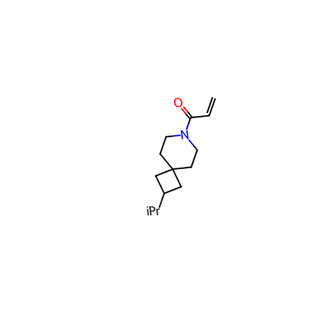 C=CC(=O)N1CCC2(CC1)CC(C(C)C)C2